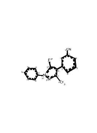 N#Cc1cccc(-c2c(C(F)(F)F)nn(-c3ccccc3)c2F)c1